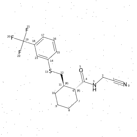 N#CCNC(=O)[C@@H]1CCCC[C@H]1CSc1cccc(C(F)(F)F)c1